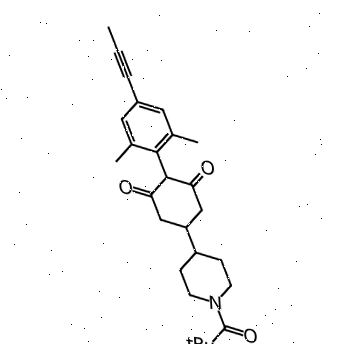 CC#Cc1cc(C)c(C2C(=O)CC(C3CCN(C(=O)C(C)(C)C)CC3)CC2=O)c(C)c1